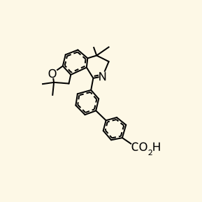 CC1(C)Cc2c(ccc3c2C(c2cccc(-c4ccc(C(=O)O)cc4)c2)=NCC3(C)C)O1